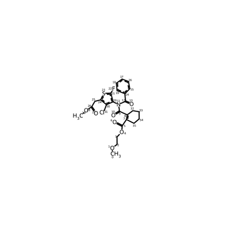 COCCOC(=O)C1=C(C(=O)N(C(=O)c2ccccc2)c2c(F)sc(CC(=O)OC)c2Cl)CCCC1